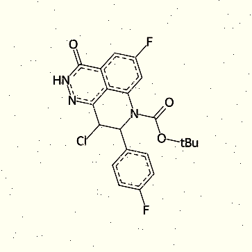 CC(C)(C)OC(=O)N1c2cc(F)cc3c(=O)[nH]nc(c23)C(Cl)C1c1ccc(F)cc1